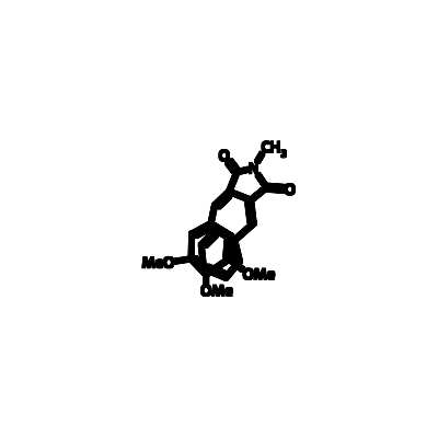 COc1cc(/C=C2/C(=O)N(C)C(=O)/C2=C/c2ccccc2)cc(OC)c1OC